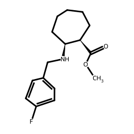 COC(=O)[C@@H]1CCCCC[C@@H]1NCc1ccc(F)cc1